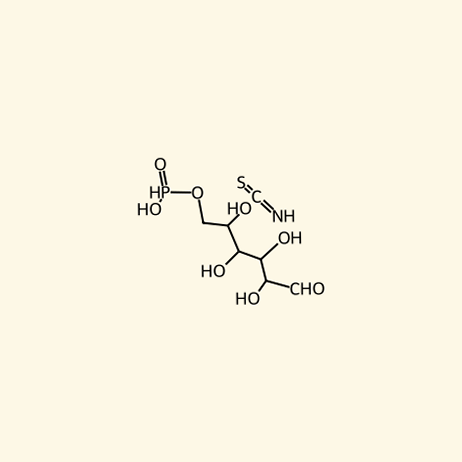 N=C=S.O=CC(O)C(O)C(O)C(O)CO[PH](=O)O